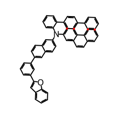 c1ccc(-c2ccc(-c3ccccc3N(c3ccc4cc(-c5cccc(-c6cc7ccccc7o6)c5)ccc4c3)c3ccc4c(ccc5ccccc54)c3)cc2)cc1